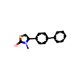 Cn1c(-c2ccc(-c3ccccc3)cc2)csc1=O